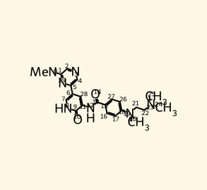 CNc1cncc(-c2c[nH]c(=O)c(NC(=O)c3ccc(N(C)CCN(C)C)cc3)c2)n1